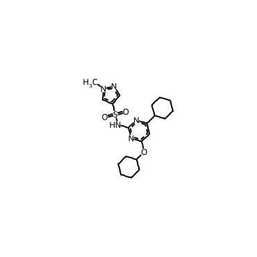 Cn1cc(S(=O)(=O)Nc2nc(OC3CCCCC3)cc(C3CCCCC3)n2)cn1